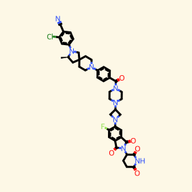 C[C@@H]1CC2(CCN(c3ccc(C(=O)N4CCN(C5CN(c6cc7c(cc6F)C(=O)N(C6CCC(=O)NC6=O)C7=O)C5)CC4)cc3)CC2)CN1c1ccc(C#N)c(Cl)c1